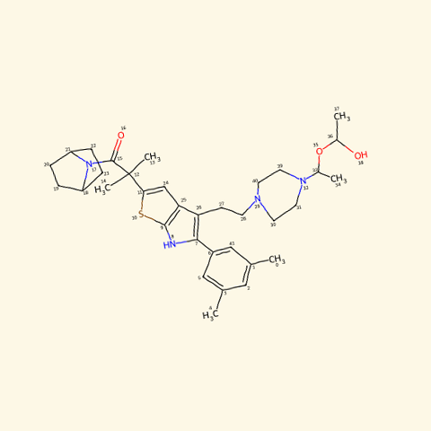 Cc1cc(C)cc(-c2[nH]c3sc(C(C)(C)C(=O)N4C5CCC4CC5)cc3c2CCN2CCN(C(C)OC(C)O)CC2)c1